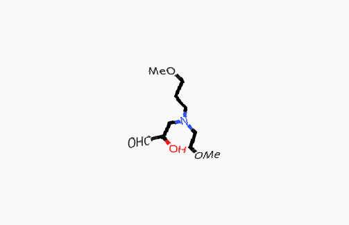 COCCCN(CCOC)CC(O)C=O